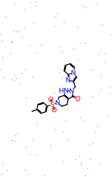 Cc1ccc(S(=O)(=O)N2CCc3c([nH]n(Cc4cn5ccccc5n4)c3=O)C2)cc1